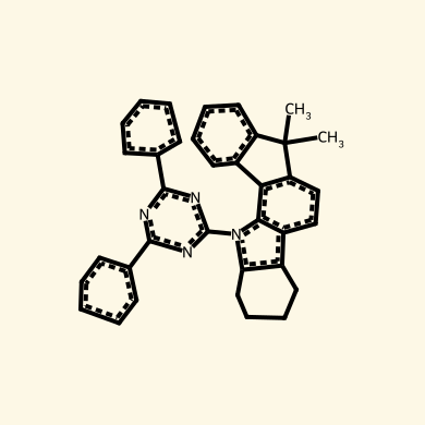 CC1(C)c2ccccc2-c2c1ccc1c3c(n(-c4nc(-c5ccccc5)nc(-c5ccccc5)n4)c21)CCCC3